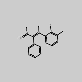 CC(=N)/C(=C(\C)c1cccc(C)c1F)c1ccccc1